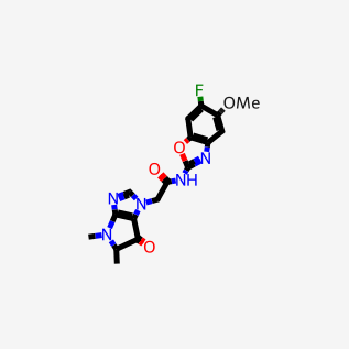 COc1cc2nc(NC(=O)Cn3cnc4c3C(=O)C(C)N4C)oc2cc1F